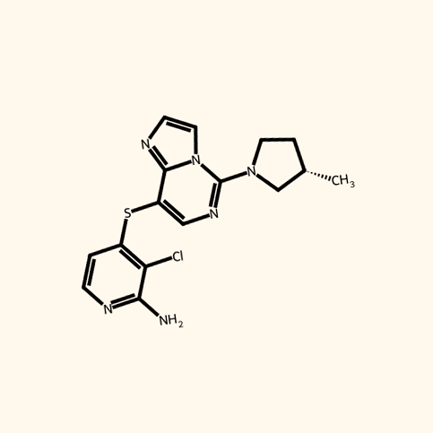 C[C@H]1CCN(c2ncc(Sc3ccnc(N)c3Cl)c3nccn23)C1